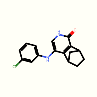 O=c1[nH]cc(Nc2cccc(Cl)c2)c2c1C1CCC2C1